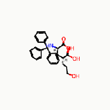 O=C(O)[C@H](CCCO)C[C@@H](NC(c1ccccc1)(c1ccccc1)c1ccccc1)C(=O)O